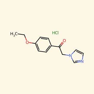 CCOc1ccc(C(=O)Cn2ccnc2)cc1.Cl